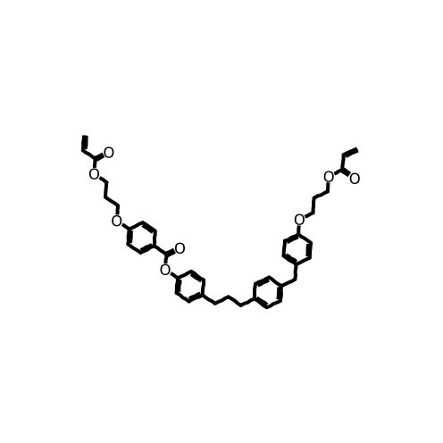 C=CC(=O)OCCCOc1ccc(Cc2ccc(CCCc3ccc(OC(=O)c4ccc(OCCCOC(=O)C=C)cc4)cc3)cc2)cc1